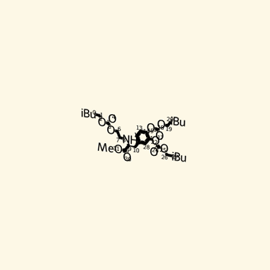 CCC(C)COC(=O)OCCN[C@@H](Cc1ccc(OC(=O)OCC(C)CC)c(OC(=O)OCC(C)CC)c1)C(=O)OC